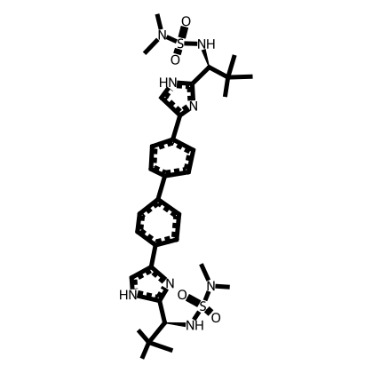 CN(C)S(=O)(=O)N[C@H](c1nc(-c2ccc(-c3ccc(-c4c[nH]c([C@@H](NS(=O)(=O)N(C)C)C(C)(C)C)n4)cc3)cc2)c[nH]1)C(C)(C)C